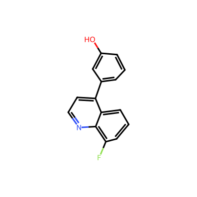 Oc1cccc(-c2ccnc3c(F)cccc23)c1